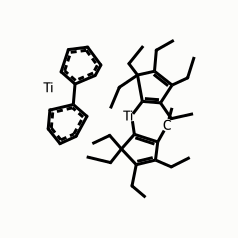 CCC1=C(CC)C(CC)(CC)[C]([Ti][C]2=C(CC)C(CC)=C(CC)C2(CC)CC)=C1CC.[Ti].c1ccc(-c2ccccc2)cc1